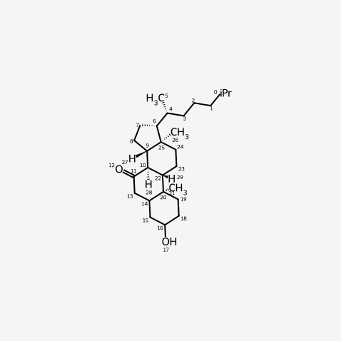 CC(C)CCC[C@@H](C)[C@H]1CC[C@H]2[C@@H]3C(=O)CC4CC(O)CC[C@]4(C)[C@H]3CC[C@]12C